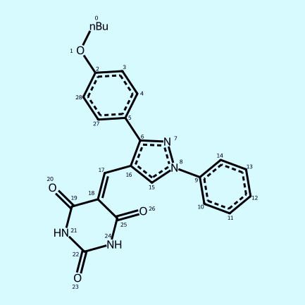 CCCCOc1ccc(-c2nn(-c3ccccc3)cc2C=C2C(=O)NC(=O)NC2=O)cc1